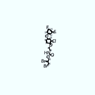 O=C(NCCOc1ccc(Oc2cc(F)cc(F)c2)cc1Cl)OCC(Br)CBr